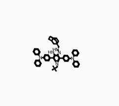 CC(C)(C)Cn1c2c(-c3ccc(N(c4ccccc4)c4ccccc4)cc3)c(=N)/c(=N\NCC34CC=C5C(CC5C3)C4)c(-c3ccc(N(c4ccccc4)c4ccccc4)cc3)c1-2